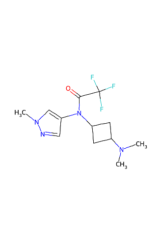 CN(C)C1CC(N(C(=O)C(F)(F)F)c2cnn(C)c2)C1